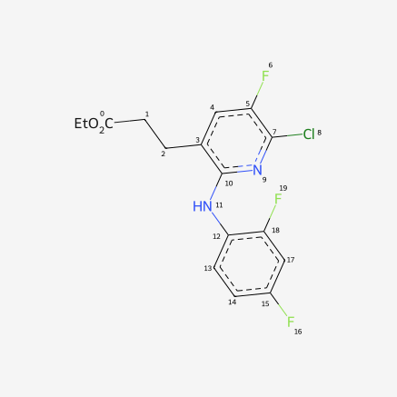 CCOC(=O)CCc1cc(F)c(Cl)nc1Nc1ccc(F)cc1F